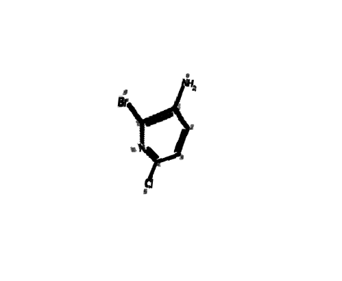 Nc1ccc(Cl)nc1Br